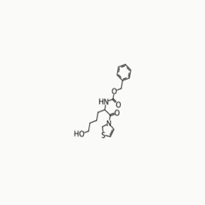 O=C(NC(CCCCO)C(=O)N1C=CSC1)OCc1ccccc1